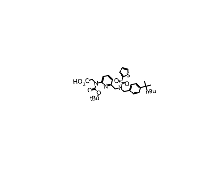 CCCCC(C)(C)c1ccc(CN(Cc2cccc(N(CC(=O)O)C(=O)OC(C)(C)C)n2)S(=O)(=O)c2cccs2)cc1